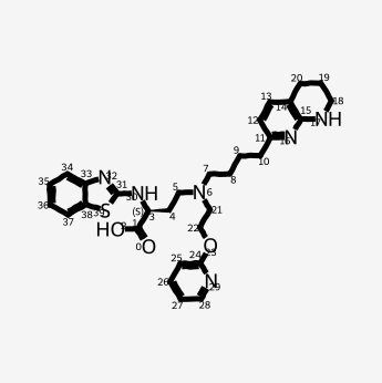 O=C(O)[C@H](CCN(CCCCc1ccc2c(n1)NCCC2)CCOc1ccccn1)Nc1nc2ccccc2s1